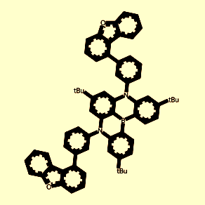 CC(C)(C)c1ccc2c(c1)N(c1cccc(-c3cccc4oc5ccccc5c34)c1)c1cc(C(C)(C)C)cc3c1B2c1ccc(C(C)(C)C)cc1N3c1cccc(-c2cccc3oc4ccccc4c23)c1